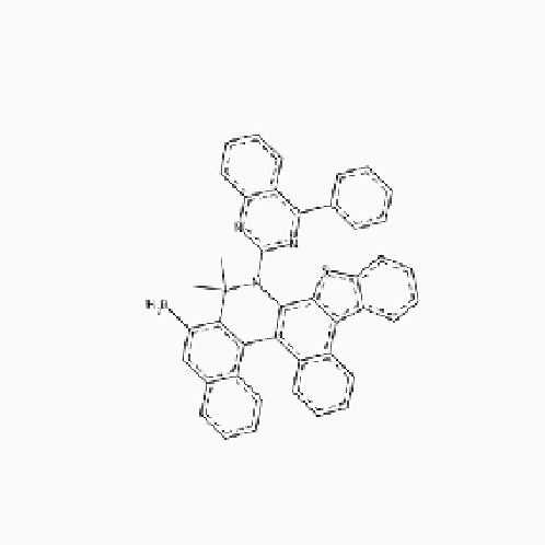 Bc1cc2ccccc2c2c1C(C)(C)N(c1nc(-c3ccccc3)c3ccccc3n1)c1c-2c2ccccc2c2c1sc1ccccc12